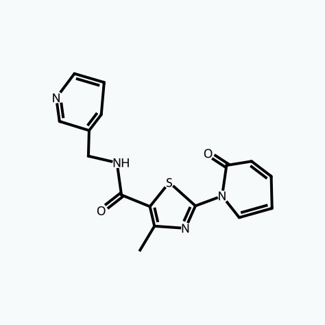 Cc1nc(-n2ccccc2=O)sc1C(=O)NCc1cccnc1